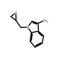 Cc1cn(CC2CO2)c2ccccc12